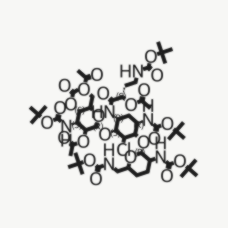 CC(=O)OCC1O[C@H](O[C@@H]2C(Cl)C(O[C@H]3OC(CNC(=O)OC(C)(C)C)CCC3NC(=O)OC(C)(C)C)[C@H](NC(=O)OC(C)(C)C)C[C@H]2NC(=O)[C@H](CCNC(=O)OC(C)(C)C)OC(C)=O)C(OC(C)=O)[C@@H](NC(=O)OC(C)(C)C)[C@@H]1OC(C)=O